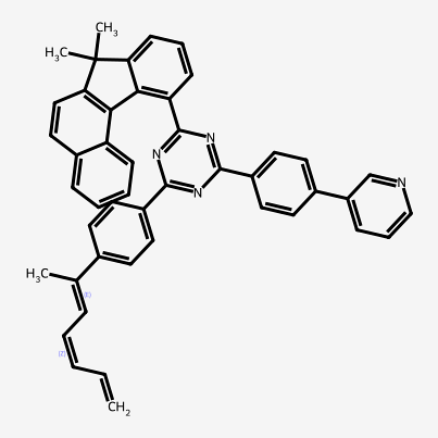 C=C/C=C\C=C(/C)c1ccc(-c2nc(-c3ccc(-c4cccnc4)cc3)nc(-c3cccc4c3-c3c(ccc5ccccc35)C4(C)C)n2)cc1